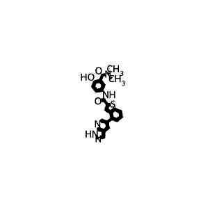 CN(C)C(=O)c1cc(NC(=O)c2cc3c(-c4cnc5[nH]ncc5c4)cccc3s2)ccc1O